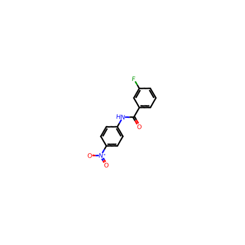 O=C(Nc1ccc([N+](=O)[O-])cc1)c1cccc(F)c1